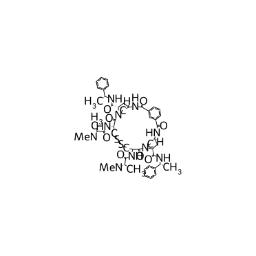 CN[C@@H](C)C(=O)N[C@H]1CSSC[C@H](NC(=O)[C@H](C)NC)C(=O)N2C[C@H](C[C@H]2C(=O)N[C@H](C)c2ccccc2)NC(=O)c2cccc(c2)C(=O)N[C@H]2C[C@@H](C(=O)N[C@H](C)c3ccccc3)N(C2)C1=O